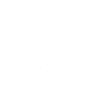 CC(C)(C)[Si](C)(C)OCc1cnc(F)c(-c2ccc(OCC(F)(F)F)nc2)c1